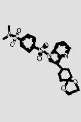 CN(C)S(=O)(=O)c1ccc(S(=O)(=O)n2cc(C3CCC4(CC3)OCCO4)c3ncccc32)cc1